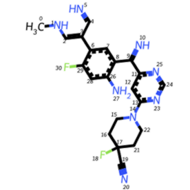 CN/C=C(\C=N)c1cc(C(=N)c2cc(N3CCC(F)(C#N)CC3)ncn2)c(N)cc1F